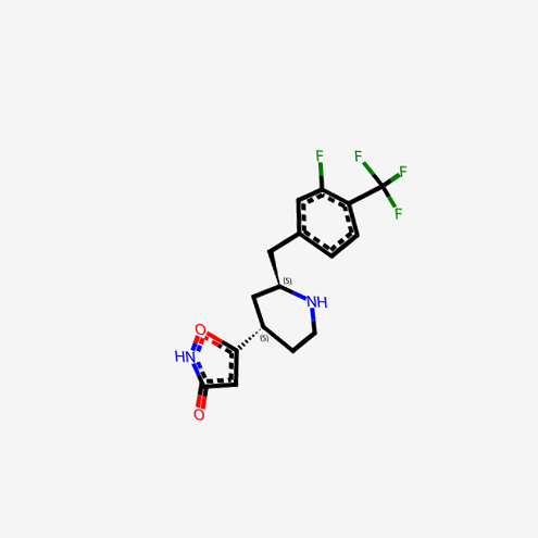 O=c1cc([C@H]2CCN[C@H](Cc3ccc(C(F)(F)F)c(F)c3)C2)o[nH]1